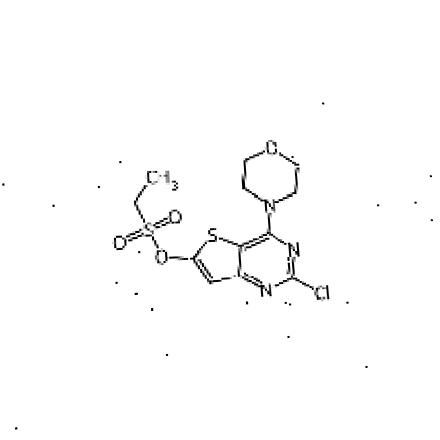 CCS(=O)(=O)Oc1cc2nc(Cl)nc(N3CCOCC3)c2s1